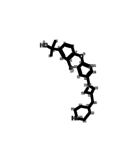 CC(C)(O)c1ccc(Oc2ccc(N3CC(CC4CCNCC4)C3)cn2)c(Br)c1